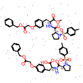 COC(=O)[C@H](Cc1ccc(OCC(=O)OCc2ccccc2)cc1)NC(=O)[C@@H]1CCCN1S(=O)(=O)c1ccc(C)cc1.Cc1ccc(S(=O)(=O)N2CCC[C@H]2C(=O)N[C@@H](Cc2ccc(OCC(=O)OCc3ccccc3)cc2)C(=O)O)cc1